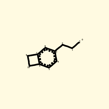 ICCc1ccc2c(c1)CC2